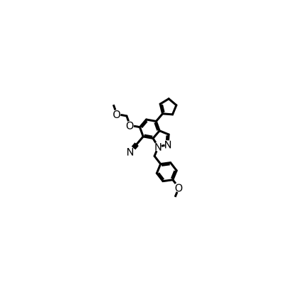 COCOc1cc(C2=CCCC2)c2cnn(Cc3ccc(OC)cc3)c2c1C#N